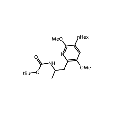 CCCCCCc1cc(OC)c(CC(C)NC(=O)OC(C)(C)C)nc1OC